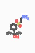 CCCC(O)(CCC)c1cccc(S(=O)(=O)CCN)c1